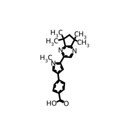 Cn1cc(-c2ccc(C(=O)O)cc2)cc1-c1cnc2c(n1)C(C)(C)CC2(C)C